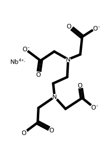 O=C([O-])CN(CCN(CC(=O)[O-])CC(=O)[O-])CC(=O)[O-].[Nb+4]